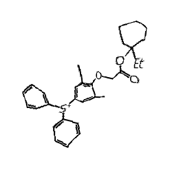 CCC1(OC(=O)COc2c(C)cc([S+](c3ccccc3)c3ccccc3)cc2C)CCCCC1